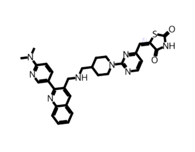 CN(C)c1ccc(-c2nc3ccccc3cc2CNCC2CCN(c3nccc(/C=C4/SC(=O)NC4=O)n3)CC2)cn1